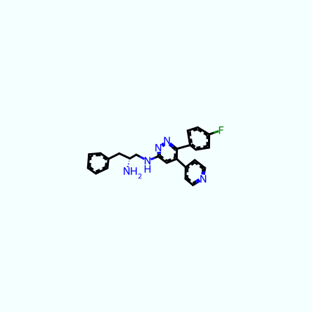 N[C@@H](CNc1cc(-c2ccncc2)c(-c2ccc(F)cc2)nn1)Cc1ccccc1